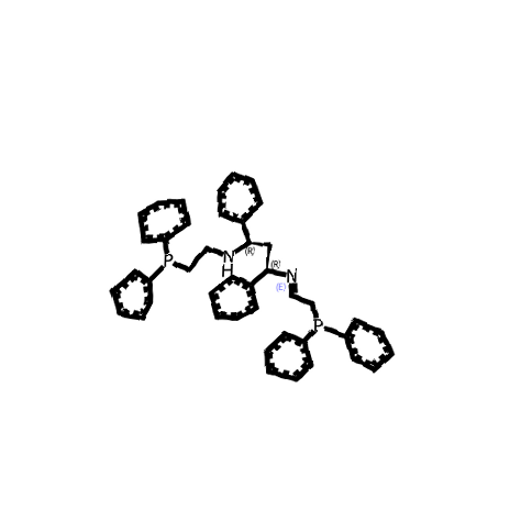 C(/CP(c1ccccc1)c1ccccc1)=N\[C@H](C[C@@H](NCCP(c1ccccc1)c1ccccc1)c1ccccc1)c1ccccc1